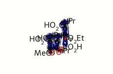 CC(C)N1CCN(C(=O)O)CC1.CC(C)OC(=O)c1ccnc(N2CCC(C3CN(C(C)C)CCN3C(=O)O)CC2)c1.CCOC(=O)c1ccc(N2CCC(C3CN(C(C)C)CCN3C(=O)O)CC2)nc1.COC(=O)c1ccc(N2CCC(C3CN(C(C)C)CCN3C(=O)O)CC2)nc1